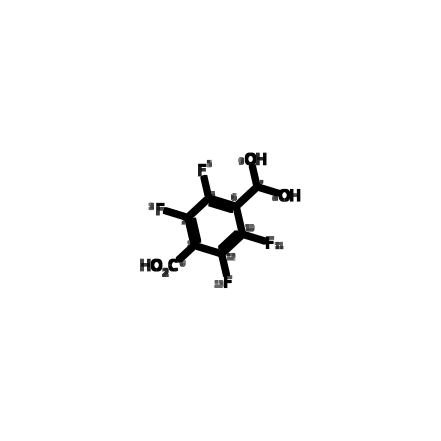 O=C(O)c1c(F)c(F)c(C(O)O)c(F)c1F